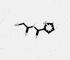 O=C(CO)SC(=S)c1ccc[nH]1